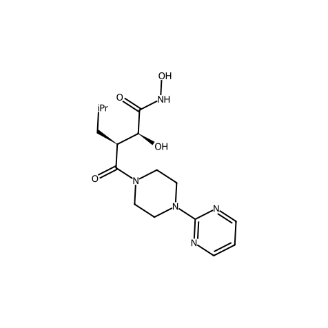 CC(C)C[C@H](C(=O)N1CCN(c2ncccn2)CC1)[C@H](O)C(=O)NO